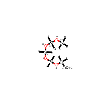 [CH2]CCCCCCCCC[Si](C)(C)O[Si](C)(C)O[Si](C)(C)O[Si](C)(C)O[Si](C)(C)C